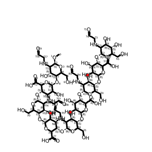 CO[C@H]1OC(CO)[C@@H](O[C@@H]2OC(C(=O)O)[C@@H](O[C@H]3OC(CO)[C@@H](O[C@@H]4OC(C(=O)O)[C@@H](O[C@H]5OC(CO)[C@@H](O[C@@H]6OC(C(=O)O)[C@@H](O[C@H]7OC(CO)[C@@H](O[C@@H]8OC(C(=O)O)[C@@H](O[C@H]9OC(CO)[C@@H](O)[C@H](O)C9NCC=O)[C@H](O)C8O)[C@H](O)C7NCC=O)[C@H](O)C6O)[C@H](O)C5NCC=O)[C@H](O)C4O)[C@H](O)C3NCC=O)[C@H](O)C2O)[C@H](O)C1NCC=O